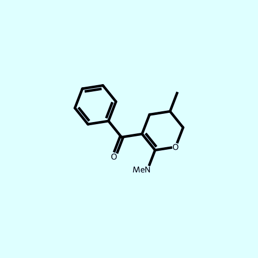 CNC1=C(C(=O)c2ccccc2)CC(C)CO1